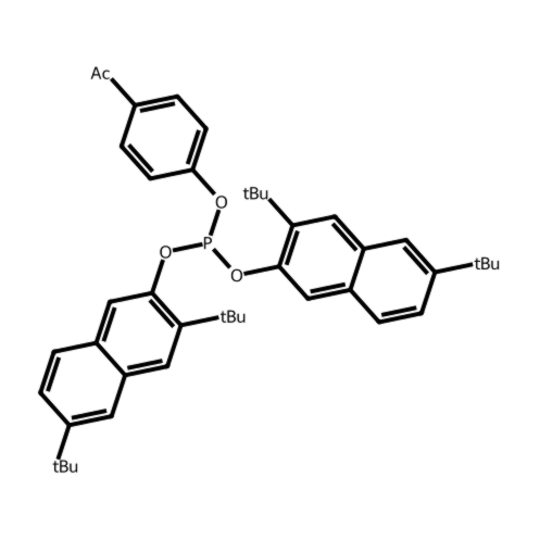 CC(=O)c1ccc(OP(Oc2cc3ccc(C(C)(C)C)cc3cc2C(C)(C)C)Oc2cc3ccc(C(C)(C)C)cc3cc2C(C)(C)C)cc1